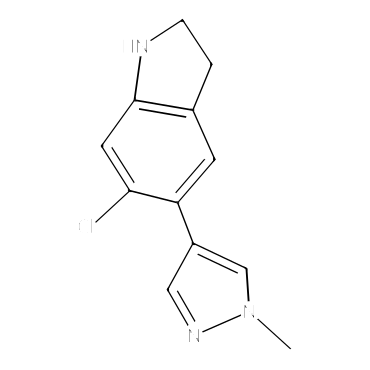 Cn1cc(-c2cc3c(cc2Cl)NCC3)cn1